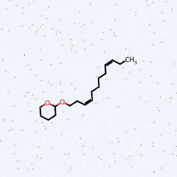 CC/C=C\CCCC/C=C\CCOC1CCCCO1